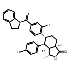 C[C@H]1NC(=O)[C@]2(C)CC[C@@H](c3ccc(C(=O)N4CCc5ccccc54)cc3Cl)[C@H](c3ccc(Cl)cc3)[C@H]12